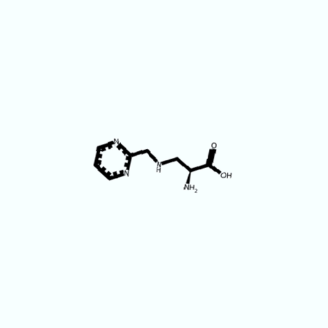 N[C@@H](CNCc1ncccn1)C(=O)O